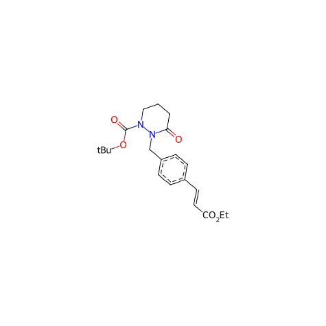 CCOC(=O)C=Cc1ccc(CN2C(=O)CCCN2C(=O)OC(C)(C)C)cc1